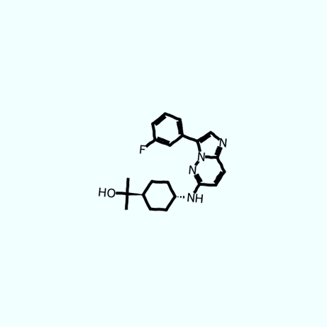 CC(C)(O)[C@H]1CC[C@H](Nc2ccc3ncc(-c4cccc(F)c4)n3n2)CC1